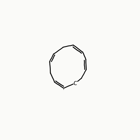 [C]1=CCC=CCC=CC=CCC1